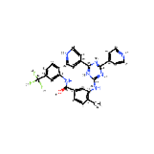 Cc1ccc(C(=O)Nc2cccc(C(F)(F)F)c2)cc1Nc1nc(-c2ccncc2)nc(-c2ccncc2)n1